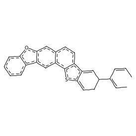 C/C=C\C(=C/C)C1C=c2c(sc3c2ccc2cc4oc5ccccc5c4cc23)=CC1